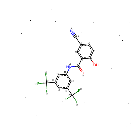 N#Cc1ccc(O)c(C(=O)Nc2cc(C(F)(F)F)cc(C(F)(F)F)c2)c1